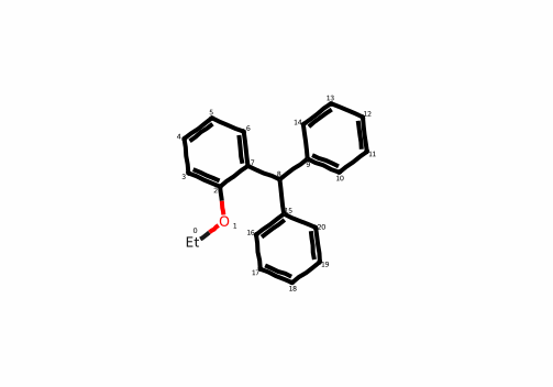 CCOc1ccccc1C(c1ccccc1)c1ccccc1